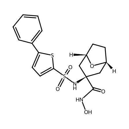 O=C(NO)[C@@]1(NS(=O)(=O)c2ccc(-c3ccccc3)s2)C[C@H]2CC[C@@H](C1)O2